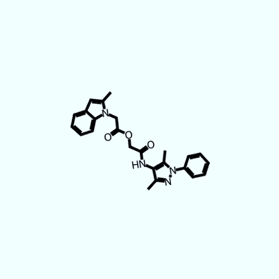 Cc1nn(-c2ccccc2)c(C)c1NC(=O)COC(=O)Cn1c(C)cc2ccccc21